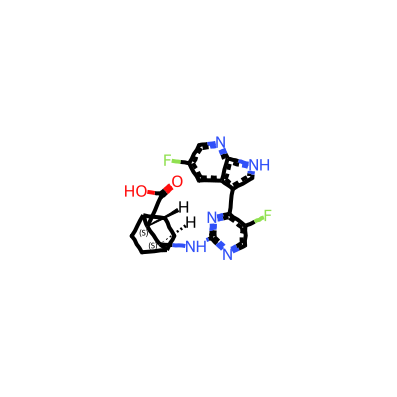 O=C(O)[C@H]1C2CCC(CC2)[C@@H]1Nc1ncc(F)c(-c2c[nH]c3ncc(F)cc23)n1